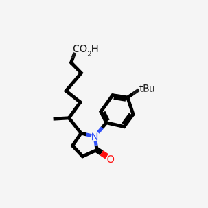 CC(CCCCC(=O)O)C1CCC(=O)N1c1ccc(C(C)(C)C)cc1